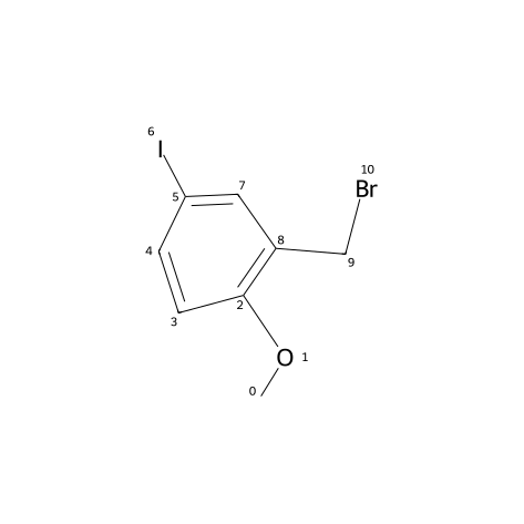 COc1ccc(I)cc1CBr